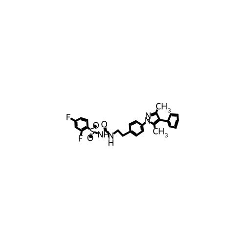 Cc1nn(-c2ccc(CCNC(=O)NS(=O)(=O)c3ccc(F)cc3F)cc2)c(C)c1-c1ccccc1